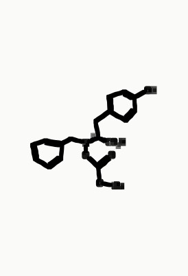 CC(C)(C)OC(=O)ON(Cc1ccccc1)[C@@H](Cc1ccc(O)cc1)C(=O)O